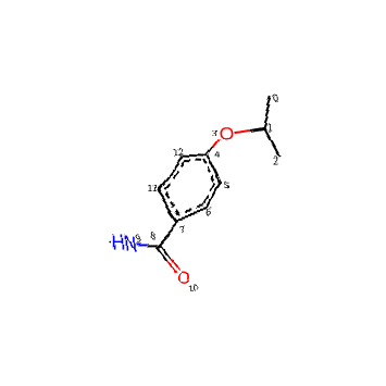 CC(C)Oc1ccc(C([NH])=O)cc1